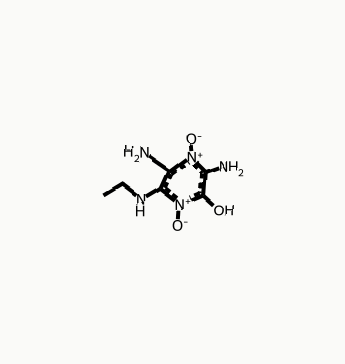 CCNc1c(N)[n+]([O-])c(N)c(O)[n+]1[O-]